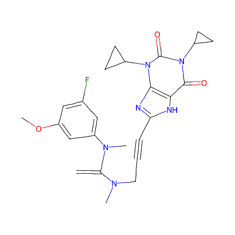 C=C(N(C)CC#Cc1nc2c([nH]1)c(=O)n(C1CC1)c(=O)n2C1CC1)N(C)c1cc(F)cc(OC)c1